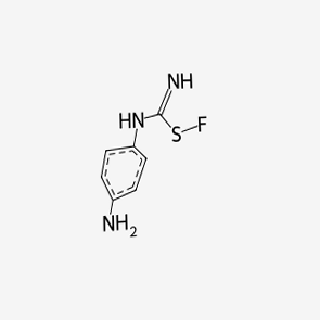 N=C(Nc1ccc(N)cc1)SF